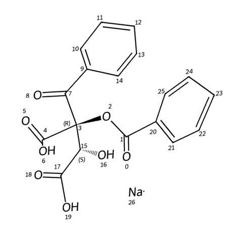 O=C(O[C@@](C(=O)O)(C(=O)c1ccccc1)[C@H](O)C(=O)O)c1ccccc1.[Na]